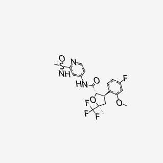 COc1cc(F)ccc1[C@H]1C[C@@](C)(C(F)(F)F)O[C@@H]1C(=O)Nc1ccnc(S(C)(=N)=O)c1